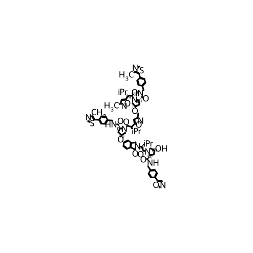 Cc1cc([C@@H](C(=O)N2C[C@H](OCc3cc(C(C(=O)N4C[C@H](Oc5ccc6c(c5)CN([C@H](C(=O)N5C[C@H](O)C[C@H]5C(=O)NCc5ccc(-c7cnco7)cc5)C(C)C)C6=O)C[C@H]4C(=O)NCc4ccc(-c5scnc5C)cc4)C(C)C)on3)C[C@H]2C(=O)NCc2ccc(-c3scnc3C)cc2)C(C)C)on1